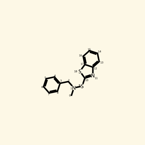 CN(Cc1ccccc1)Sc1nc2ccccc2s1